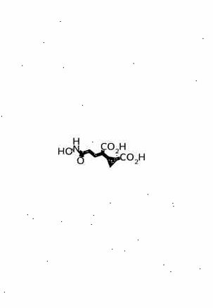 O=C(CCC(C(=O)O)C1CC1C(=O)O)NO